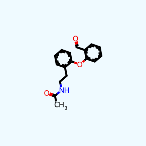 CC(=O)NCCc1ccccc1Oc1ccccc1C=O